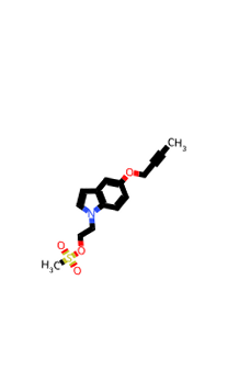 CC#CCOc1ccc2c(ccn2CCOS(C)(=O)=O)c1